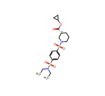 CCN(CC)S(=O)(=O)c1ccc(S(=O)(=O)N2CCC[C@@H](C(=O)OC3CC3)C2)cc1